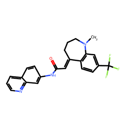 CN1CCC/C(=C\C(=O)Nc2ccc3cccnc3c2)c2ccc(C(F)(F)F)cc21